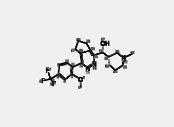 COc1cc(C(F)(F)F)ccc1-c1nnc([C@H](O)[C@H]2CCCN(C)C2)c2c1CCC2